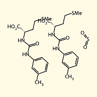 CSCC[C@H](NC(=O)Nc1cccc(C)c1)C(=O)O.CSCC[C@H](NC(=O)Nc1cccc(C)c1)C(=O)O.O=S=O